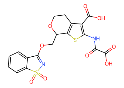 O=C(O)C(=O)Nc1sc2c(c1C(=O)O)CCOC2COC1=NS(=O)(=O)c2ccccc21